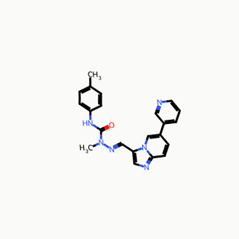 Cc1ccc(NC(=O)N(C)/N=C/c2cnc3ccc(-c4cccnc4)cn23)cc1